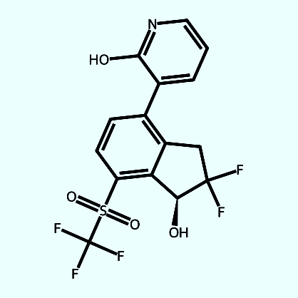 O=S(=O)(c1ccc(-c2cccnc2O)c2c1[C@H](O)C(F)(F)C2)C(F)(F)F